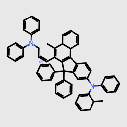 CC1=C(/C=C\CN(c2ccccc2)c2ccccc2)C2=C(c3ccc(N(C4=CC=CCC4C)c4ccccc4)cc3C2(c2ccccc2)c2ccccc2)C2C=CC=CC12